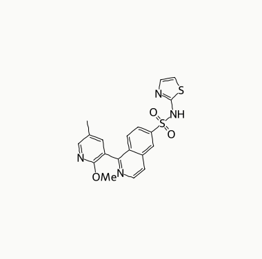 COc1ncc(C)cc1-c1nccc2cc(S(=O)(=O)Nc3nccs3)ccc12